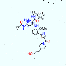 BC(B)(B)NC(=O)/C(N)=C(/C=C(\N)NC(=O)C1CC1)Nc1cccc(-c2ncc(C(=O)N3CCC(CCCO)CC3)s2)c1OC